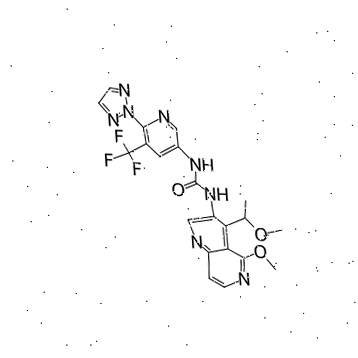 COc1nccc2ncc(NC(=O)Nc3cnc(-n4nccn4)c(C(F)(F)F)c3)c(C(C)OC)c12